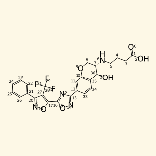 O=C(O)CCCN[C@H]1COc2cc(-c3noc(-c4onc(-c5ccccc5)c4C(F)(F)F)n3)ccc2[C@@H]1O